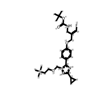 CC(C)(C)OC(=O)NC/C(=C\F)COc1ccc(-c2nc(C3CC3)nn2COCC[Si](C)(C)C)cc1